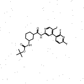 CC(C)(C)OC(=O)NC1CCCC(C(=O)Nc2cc(-c3ccc(F)nc3F)c(F)cn2)C1